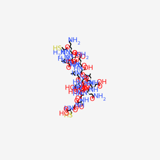 CC[C@H](C)[C@H](NC(=O)[C@H](CC(C)C)NC(=O)[C@H](CO)NC(=O)[C@H](CCC(=O)O)NC(=O)[C@H](CC(N)=O)NC(=O)[C@H](CC(C)C)NC(=O)[C@H](CC(N)=O)NC(=O)[C@H](CCCCN)NC(=O)[C@@H](N)CS)C(=O)N[C@@H](CC(=O)O)C(=O)N[C@@H](CC(C)C)C(=O)N[C@@H](CCC(N)=O)C(=O)N[C@@H](CCC(=O)O)C(=O)N[C@@H](CC(C)C)C(=O)NCC(=O)N[C@@H](CO)C(=O)NCC(=O)N[C@@H](CO)C(=O)NCC(=O)N[C@@H](CS)C(=O)O